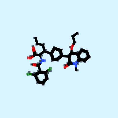 CCCOc1c(-c2ccc(C(CCC)[C@H](NC(=O)c3c(Cl)cccc3Cl)C(=O)O)cc2)c(=O)n(C)c2ccccc12